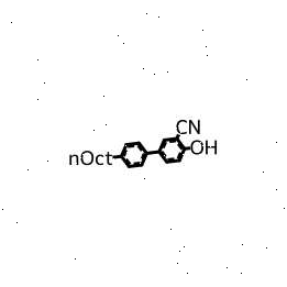 CCCCCCCCc1ccc(-c2ccc(O)c(C#N)c2)cc1